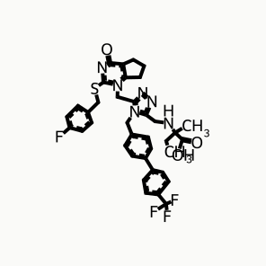 CCC(C)(NCc1nnc(Cn2c(SCc3ccc(F)cc3)nc(=O)c3c2CCC3)n1Cc1ccc(-c2ccc(C(F)(F)F)cc2)cc1)C(=O)O